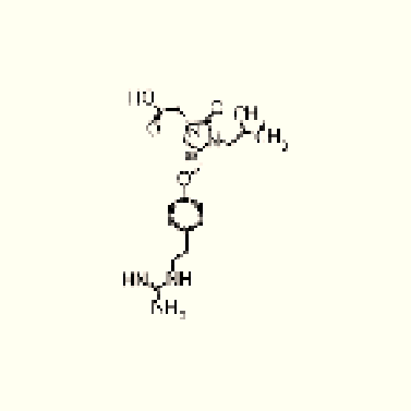 CC(C)CN1C(=O)[C@H](CC(=O)O)C[C@H]1COc1ccc(CCNC(=N)N)cc1